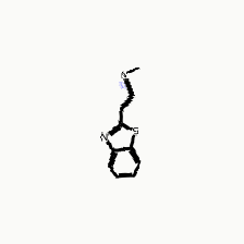 C/N=C/Cc1nc2ccccc2s1